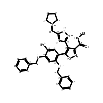 CCNC(=O)c1noc(-c2cc(C(C)C)c(OCc3ccccc3)cc2OCc2ccccc2)c1-c1noc(CN2CCCC2)n1